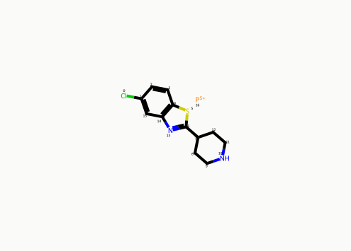 Clc1ccc2sc(C3CCNCC3)nc2c1.[P+5]